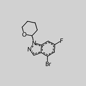 Fc1cc(Br)c2cnn(C3CCCCO3)c2c1